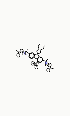 CCCCC1(CCCC)c2cc(/C(C)=N/OC(C)=O)ccc2-c2c([N+](=O)[O-])cc(/C(C)=N/OC(C)=O)cc21